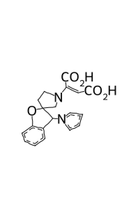 O=C(O)C=C(C(=O)O)N1CCC2(C1)Oc1ccccc1C2n1cccc1